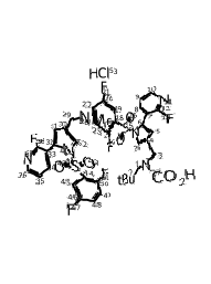 CC(C)(C)CN(Cc1cc(-c2cccnc2F)n(S(=O)(=O)c2cc(F)ccc2F)c1)C(=O)O.CNCc1cc(-c2cccnc2F)n(S(=O)(=O)c2cc(F)ccc2F)c1.Cl